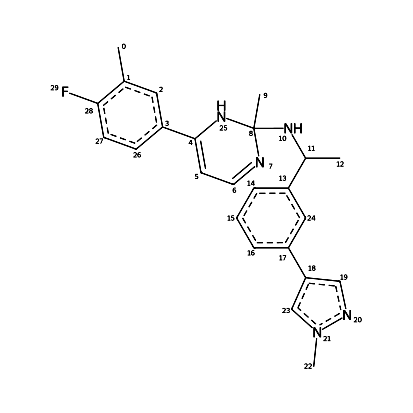 Cc1cc(C2=CC=NC(C)(NC(C)c3cccc(-c4cnn(C)c4)c3)N2)ccc1F